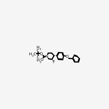 CC(C)(C)OC(=O)N1CC[C@H](c2ccc(OCc3ccccc3)cc2)[C@H](F)C1